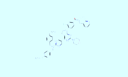 COc1ccc(CN(Cc2ccc(OC)cc2)c2ncc(-c3nc(N4CCOCC4)nc4c3CCN4c3ccc(C(=O)N(C)Cc4cccnc4)cc3F)cn2)cc1